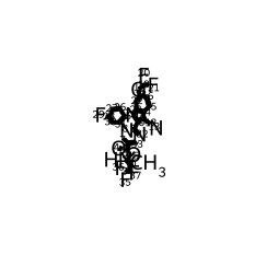 C[C@H](NS(=O)(=O)c1cnc(-c2c(C#N)c3ccc(OC(F)F)cc3n2-c2ccc(F)cc2)nc1)C(F)(F)F